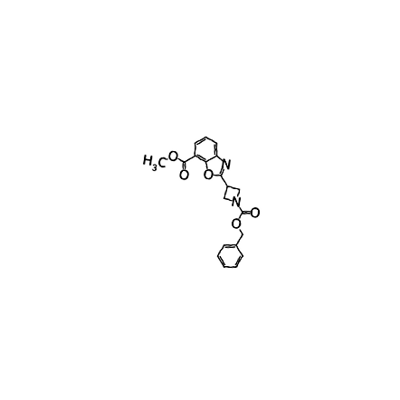 COC(=O)c1cccc2nc(C3CN(C(=O)OCc4ccccc4)C3)oc12